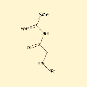 CSC(=N)NC(=O)CNC(C)C